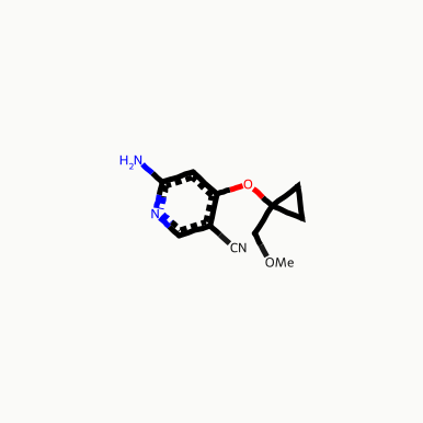 COCC1(Oc2cc(N)ncc2C#N)CC1